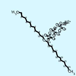 CCCCCCCCCCCCOCCCCCCCCCCCC.O=S(=O)([O-])[O-].O=S(=O)([O-])[O-].O=S(=O)([O-])[O-].[Al+3].[Al+3]